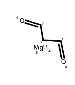 O=CCC=O.[MgH2]